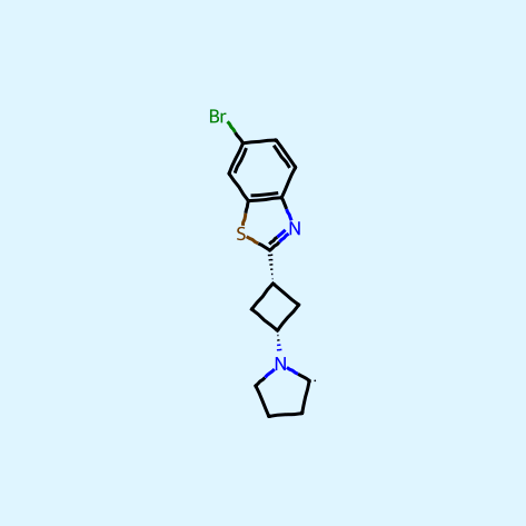 Brc1ccc2nc([C@H]3C[C@@H](N4[CH]CCC4)C3)sc2c1